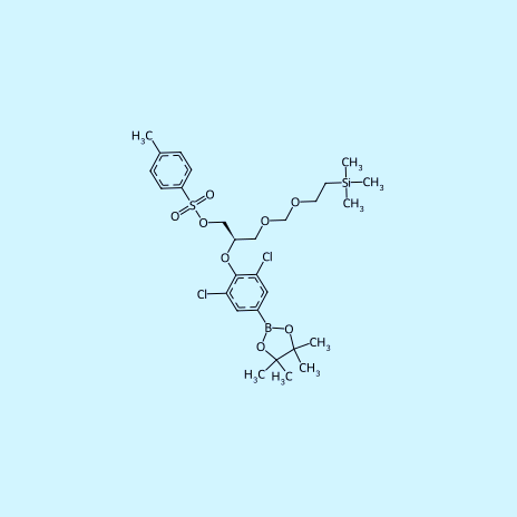 Cc1ccc(S(=O)(=O)OC[C@@H](COCOCC[Si](C)(C)C)Oc2c(Cl)cc(B3OC(C)(C)C(C)(C)O3)cc2Cl)cc1